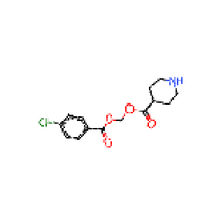 O=C(OCOC(=O)C1CCNCC1)c1ccc(Cl)cc1